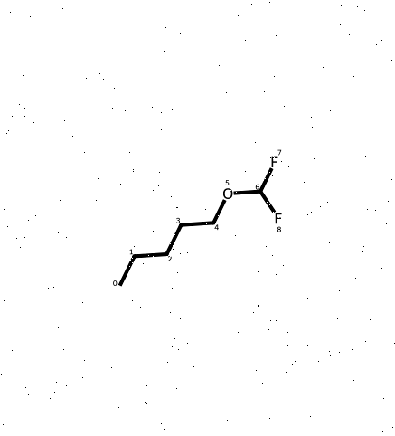 CCCCCOC(F)F